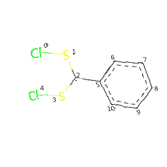 ClS[C](SCl)c1ccccc1